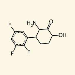 NC1C(=O)C(O)CCC1c1cc(F)cc(F)c1F